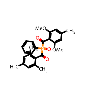 COc1cc(C)cc(OC)c1C(=O)P(=O)(C(=O)c1c(C)cc(C)cc1C)c1ccccc1